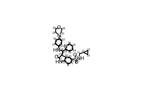 O=C1Nc2ccc(S(=O)(=O)NCC3CC3)cc2/C1=C(/Nc1ccc(N2CCOCC2)cc1)c1ccccn1